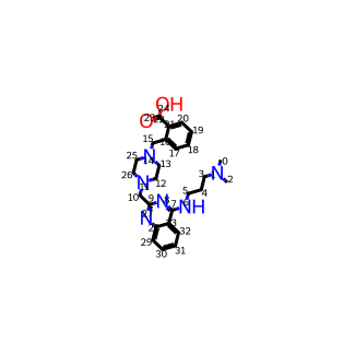 CN(C)CCCNc1nc(CN2CCN(Cc3ccccc3C(=O)O)CC2)nc2ccccc12